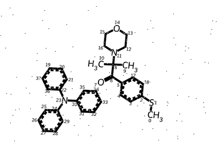 CSc1ccc(C(=O)C(C)(C)N2CCOCC2)cc1.c1ccc(N(c2ccccc2)c2ccccc2)cc1